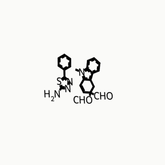 Cn1c2c(c3ccccc31)CC(C=O)(C=O)C=C2.Nc1nnc(-c2ccccc2)s1